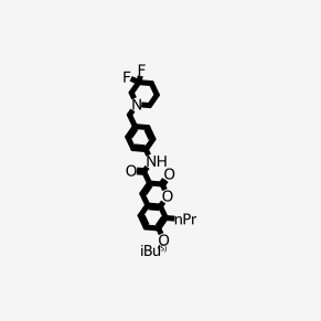 CCCc1c(O[C@@H](C)CC)ccc2cc(C(=O)Nc3ccc(CN4CCCC(F)(F)C4)cc3)c(=O)oc12